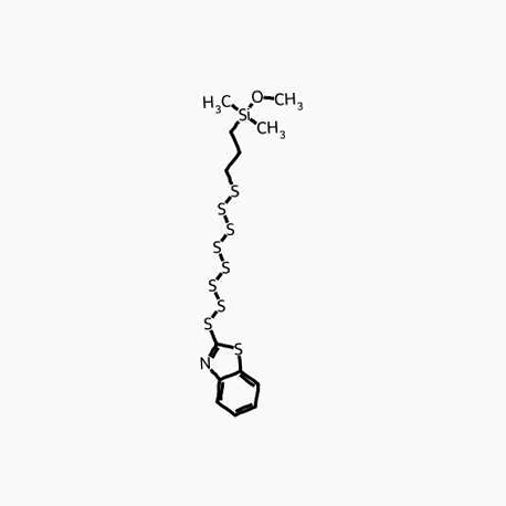 CO[Si](C)(C)CCCSSSSSSSSc1nc2ccccc2s1